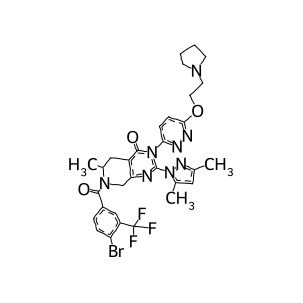 Cc1cc(C)n(-c2nc3c(c(=O)n2-c2ccc(OCCN4CCCC4)nn2)CC(C)N(C(=O)c2ccc(Br)c(C(F)(F)F)c2)C3)n1